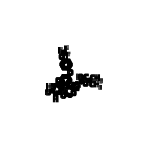 CC(C)(C)OC(=O)N1CC2(C1)CN(C1(c3ccc(Oc4ccc(OC(F)(F)F)cc4)cc3)C(=O)NC(=O)NC1=O)CCO2